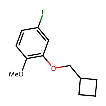 COc1ccc(F)cc1OCC1CCC1